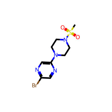 CS(=O)(=O)N1CCN(c2cnc(Br)cn2)CC1